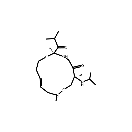 CC(C)N[C@@]1(C)CCN(C)C/C=C/CCC[C@@](C)(C(=O)C(C)C)NCC1=O